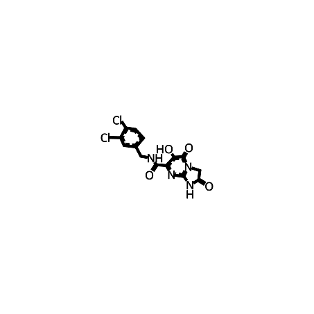 O=C1Cn2c(nc(C(=O)NCc3ccc(Cl)c(Cl)c3)c(O)c2=O)N1